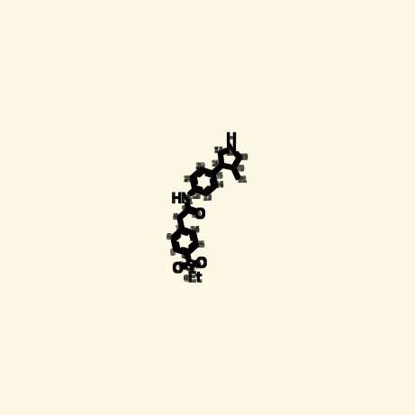 CCS(=O)(=O)c1ccc(CC(=O)Nc2ccc(C3CNCC3C)cc2)cc1